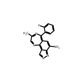 Cc1cnc2c(cc([N+](=O)[O-])c3nncc32)c(-c2ccccc2F)n1